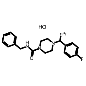 CCCC(c1ccc(F)cc1)N1CCN(C(=O)NCc2ccccc2)CC1.Cl